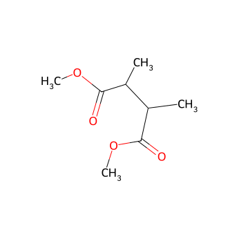 COC(=O)C(C)C(C)C(=O)OC